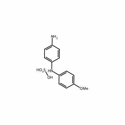 COc1ccc(Nc2ccc(N)cc2)cc1.O=S(=O)(O)O